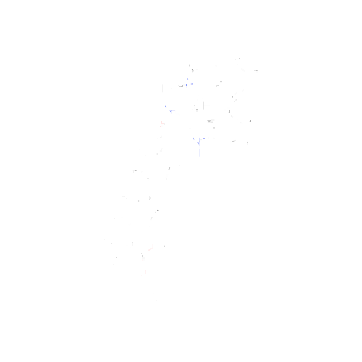 CCOC(=O)C1(c2ccc(-c3ccc(-c4onc(C)c4Nc4cccc(-c5ccccc5CN(C)C)c4)cc3)cc2)CC1